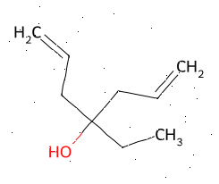 C=CCC(O)(CC)CC=C